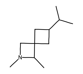 CC(C)C1CC2(C1)CN(C)C2C